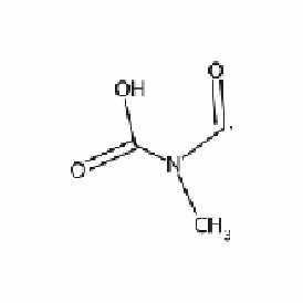 CN([C]=O)C(=O)O